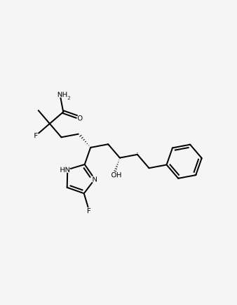 CC(F)(CC[C@H](C[C@@H](O)[CH]Cc1ccccc1)c1nc(F)c[nH]1)C(N)=O